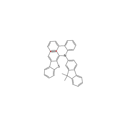 CC1(C)c2ccccc2-c2ccc(N(c3ccccc3-c3ccccc3)c3cccc4c3sc3ccccc34)cc21